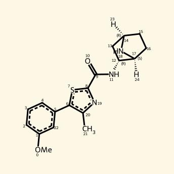 COc1cccc(-c2sc(C(=O)N[C@@H]3C[C@H]4CC[C@@H]3N4)nc2C)c1